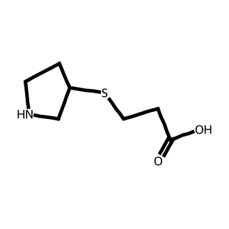 O=C(O)CCSC1CCNC1